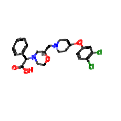 O=C(O)C(c1ccccc1)N1CCO[C@H](CN2CCC(Oc3ccc(Cl)c(Cl)c3)CC2)C1